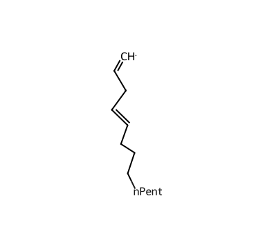 [CH]=CCC=CCCCCCCCC